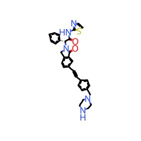 O=C(Nc1nccs1)[C@@H](c1ccccc1)N1Cc2ccc(C#Cc3ccc(CN4CCNCC4)cc3)cc2C1=O